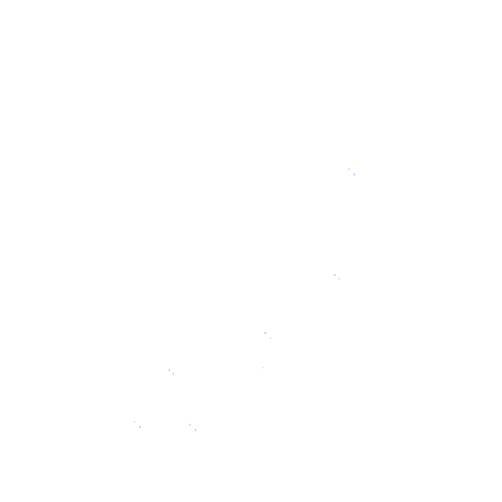 Cc1ccc2nc(-c3ccc(CNC(=O)c4cnc5nccn5c4)nc3)oc2c1